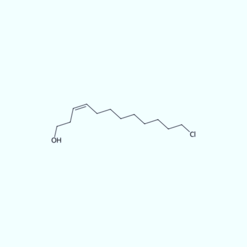 OCC/C=C\CCCCCCCCCl